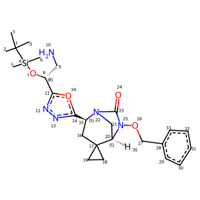 CC(C)(C)[Si](C)(C)O[C@H](CN)c1nnc([C@@H]2CC3(CC3)[C@H]3CN2C(=O)N3OCc2ccccc2)o1